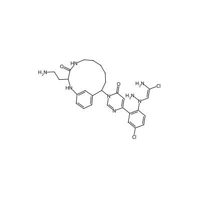 NCCC1Nc2cccc(c2)C(n2cnc(-c3cc(Cl)ccc3N(N)/C=C(\N)Cl)cc2=O)CCCCCNC1=O